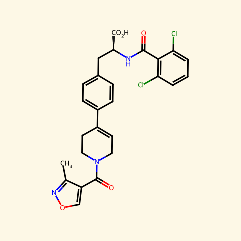 Cc1nocc1C(=O)N1CC=C(c2ccc(C[C@H](NC(=O)c3c(Cl)cccc3Cl)C(=O)O)cc2)CC1